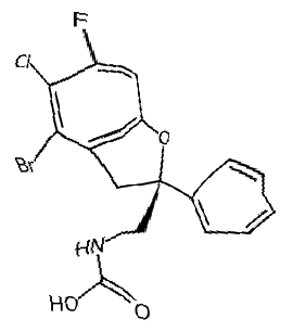 O=C(O)NC[C@@]1(c2ccccc2)Cc2c(cc(F)c(Cl)c2Br)O1